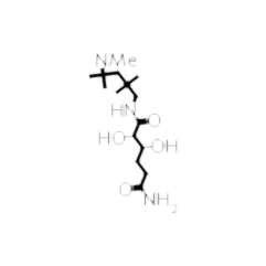 CNC(C)(C)CC(C)(C)CNC(=O)[C@@H](O)[C@H](O)CCC(N)=O